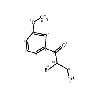 O=C(c1cccc(OC(F)(F)F)c1)C(Br)CO